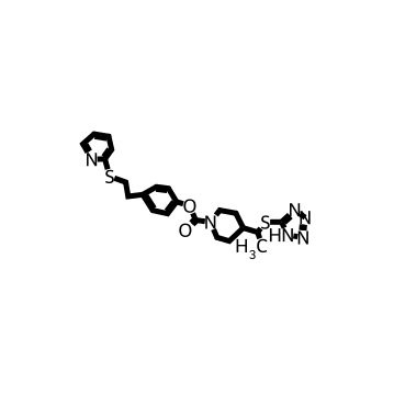 CC(Sc1nnn[nH]1)C1CCN(C(=O)Oc2ccc(CCSc3ccccn3)cc2)CC1